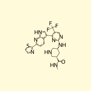 CNC(=O)[C@H]1CNC[C@@H](Nc2ncc(C(F)(F)F)c(-c3c[nH]c4nc(-c5nccs5)ccc34)n2)C1